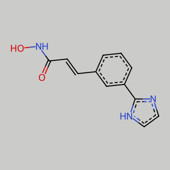 O=C(C=Cc1cccc(-c2ncc[nH]2)c1)NO